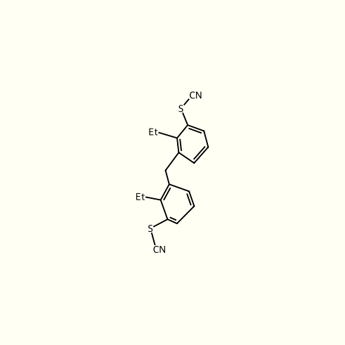 CCc1c(Cc2cccc(SC#N)c2CC)cccc1SC#N